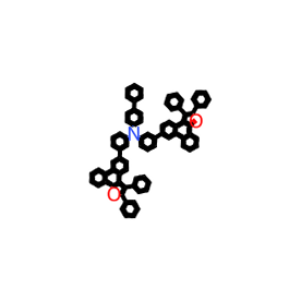 c1ccc(-c2ccc(N(c3cccc(-c4ccc5c(c4)c4ccccc4c4oc(-c6ccccc6)c(-c6ccccc6)c54)c3)c3cccc(-c4ccc5c(c4)c4ccccc4c4oc(-c6ccccc6)c(-c6ccccc6)c54)c3)cc2)cc1